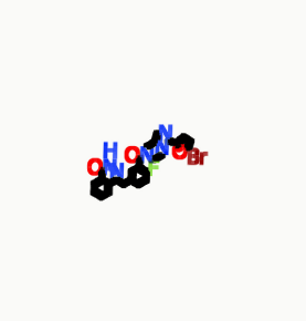 O=C(c1cc(Cc2n[nH]c(=O)c3ccccc23)ccc1F)N1CCn2c(cnc2-c2ccc(Br)o2)C1